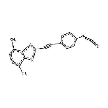 Cc1ccc(C)c2sc(C#Cc3ccc(N=C=S)cc3)nc12